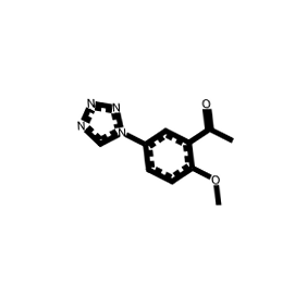 COc1ccc(-n2cnnn2)cc1C(C)=O